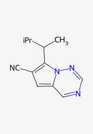 CC(C)C(C)c1c(C#N)cc2cncnn12